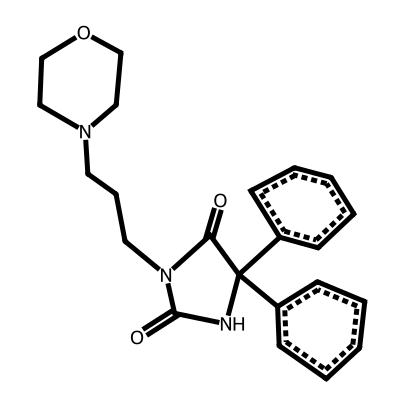 O=C1NC(c2ccccc2)(c2ccccc2)C(=O)N1CCCN1CCOCC1